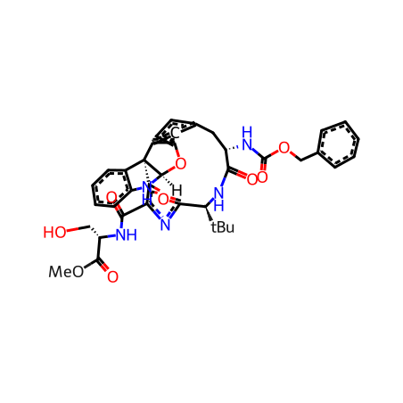 COC(=O)[C@H](CO)NC(=O)c1nc2oc1[C@@]13c4ccccc4N[C@@H]1Oc1ccc(cc13)C[C@H](NC(=O)OCc1ccccc1)C(=O)N[C@H]2C(C)(C)C